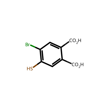 O=C(O)c1cc(S)c(Br)cc1C(=O)O